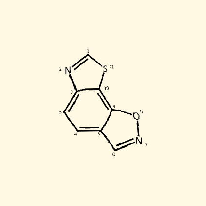 c1nc2ccc3cnoc3c2s1